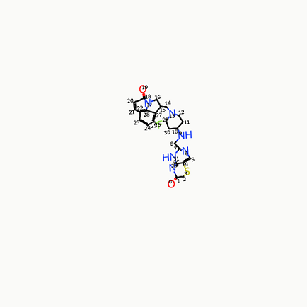 O=C1CSC2=CN=C(CNC3CCN(C[C@@H]4Cn5c(=O)ccc6ccc(F)c4c65)CC3)NC2=N1